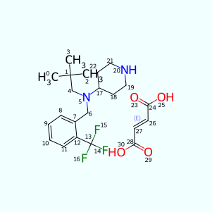 CC(C)(C)CN(Cc1ccccc1C(F)(F)F)C1CCNCC1.O=C(O)/C=C/C(=O)O